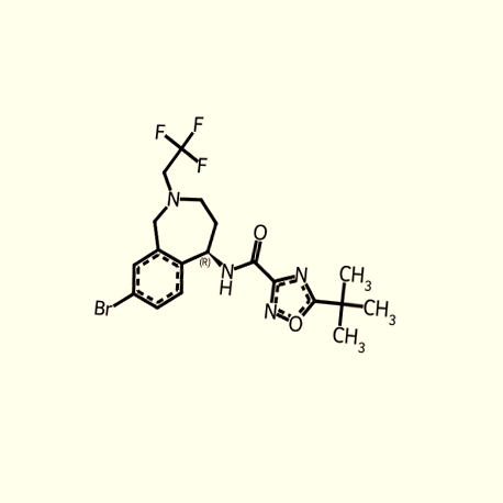 CC(C)(C)c1nc(C(=O)N[C@@H]2CCN(CC(F)(F)F)Cc3cc(Br)ccc32)no1